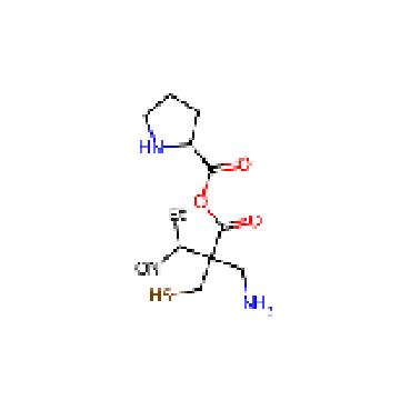 CCC(N=O)C(CN)(CS)C(=O)OC(=O)[C@@H]1CCCN1